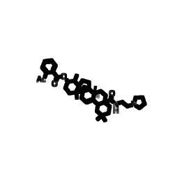 CC(=O)c1ccccc1C(=O)OC1CCC2(C)C3(CCC4(C)C23CC=C2C3CC(C)(C)CCC3(C(=O)NCCN3CCCC3)CC[C@]24C)C1C